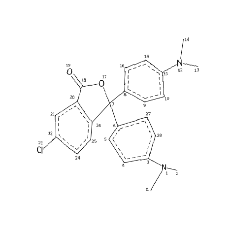 CN(C)c1ccc(C2(c3ccc(N(C)C)cc3)OC(=O)c3cc(Cl)ccc32)cc1